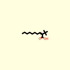 CCCCCCC/C=C(\C(=O)O)C(C)(C)C